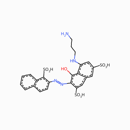 NCCCNc1cc(S(=O)(=O)O)cc2cc(S(=O)(=O)O)c(N=Nc3ccc4ccccc4c3S(=O)(=O)O)c(O)c12